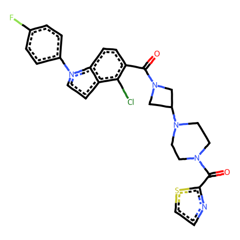 O=C(c1nccs1)N1CCN(C2CN(C(=O)c3ccc4c(ccn4-c4ccc(F)cc4)c3Cl)C2)CC1